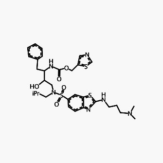 CC(C)CN(CC(O)C(Cc1ccccc1)NC(=O)OCc1cncs1)S(=O)(=O)c1ccc2nc(NCCCN(C)C)sc2c1